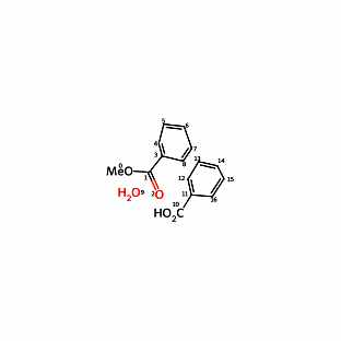 COC(=O)c1ccccc1.O.O=C(O)c1ccccc1